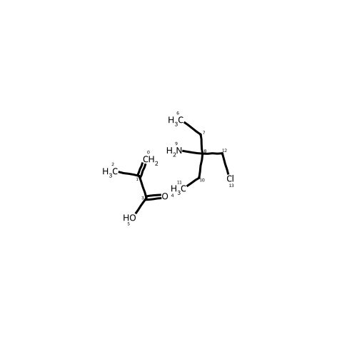 C=C(C)C(=O)O.CCC(N)(CC)CCl